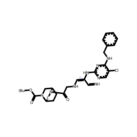 CC(C)(C)OC(=O)N1CC2CCC1CN2C(=O)CN/C=C(\C=N)Nc1ncc(Cl)c(NCc2ccccc2)n1